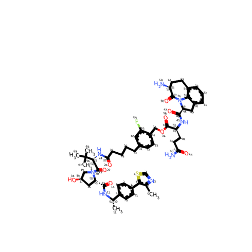 Cc1ncsc1-c1ccc([C@H](C)NC(=O)[C@@H]2C[C@@H](O)CN2C(=O)[C@@H](NC(=O)CCCCc2ccc(COC(=O)[C@H](CCC(N)=O)NC(=O)[C@@H]3Cc4cccc5c4N3C(=O)[C@@H](N)CC5)c(F)c2)C(C)(C)C)cc1